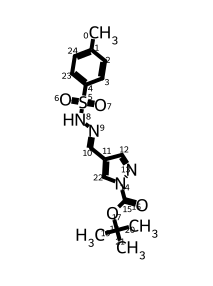 Cc1ccc(S(=O)(=O)N/N=C/c2cnn(C(=O)OC(C)(C)C)c2)cc1